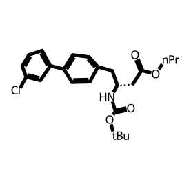 CCCOC(=O)C[C@@H](Cc1ccc(-c2cccc(Cl)c2)cc1)NC(=O)OC(C)(C)C